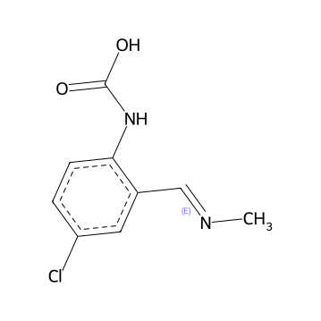 C/N=C/c1cc(Cl)ccc1NC(=O)O